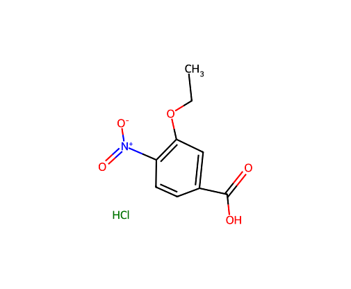 CCOc1cc(C(=O)O)ccc1[N+](=O)[O-].Cl